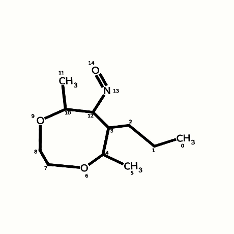 CCCC1C(C)OCCOC(C)C1N=O